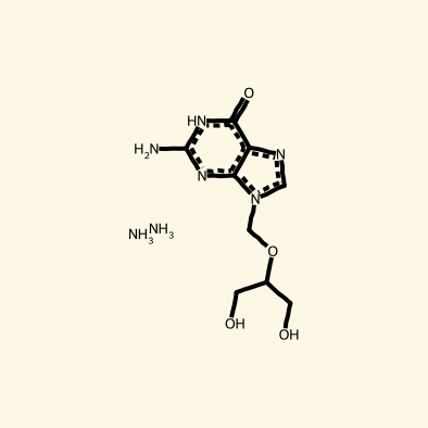 N.N.Nc1nc2c(ncn2COC(CO)CO)c(=O)[nH]1